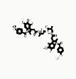 Cc1c(CC(=O)NCC(C)C(=O)OC(=O)CC(C)NC(=O)Cc2c(C)n(C(=O)c3ccc(OC(F)(F)F)cc3)c3cc(F)c(O)c(F)c23)c2c(F)c(O)c(F)cc2n1C(=O)c1ccc(OC(F)(F)F)cc1